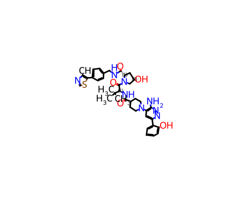 Cc1ncsc1-c1ccc(CNC(=O)[C@@H]2C[C@@H](O)CN2C(=O)[C@@H](NC(=O)C2CCN(c3cc(-c4ccccc4O)nnc3N)CC2)C(C)(C)C)cc1